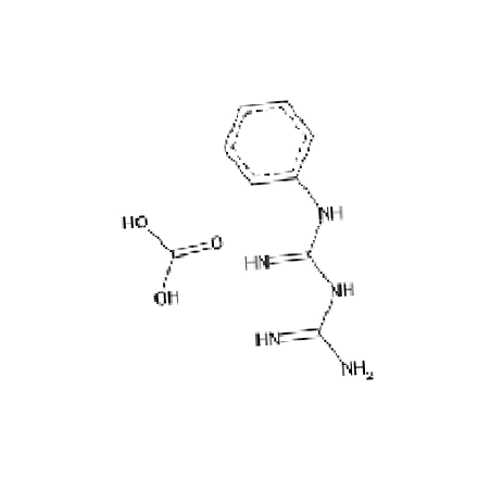 N=C(N)NC(=N)Nc1ccccc1.O=C(O)O